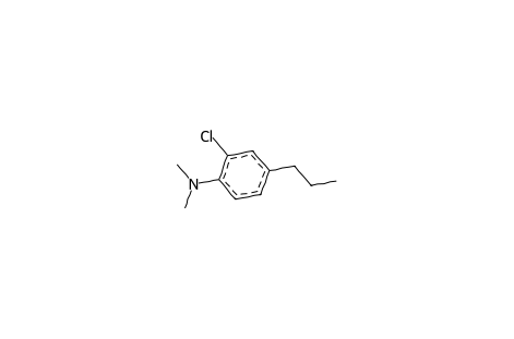 CCCc1ccc(N(C)C)c(Cl)c1